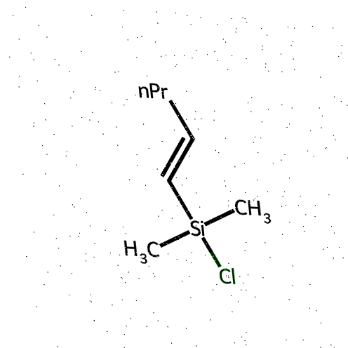 CCCC=C[Si](C)(C)Cl